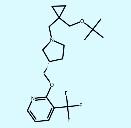 CC(C)(C)OCC1(CN2CC[C@H](COc3ncccc3C(F)(F)F)C2)CC1